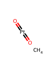 C.[O]=[Pt]=[O]